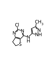 Cc1cc(Nc2nc(Cl)nc3c2SCC3)[nH]n1